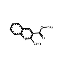 CC(C)(C)OC(=O)c1cc2ccccc2nc1[C]=O